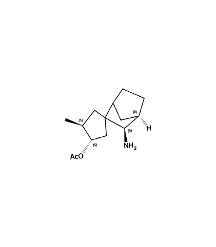 CC(=O)O[C@H]1CC2(C[C@@H]1C)C1CC[C@H](C1)[C@H]2N